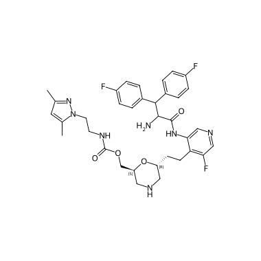 Cc1cc(C)n(CCNC(=O)OC[C@@H]2CNC[C@@H](CCc3c(F)cncc3NC(=O)C(N)C(c3ccc(F)cc3)c3ccc(F)cc3)O2)n1